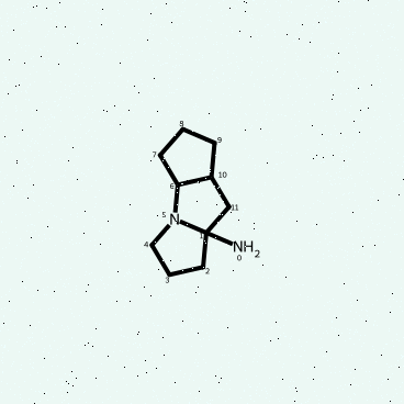 NC12CCCN1C1CCCC1C2